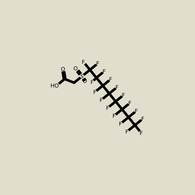 O=C(O)CS(=O)(=O)C(F)(F)C(F)(F)C(F)(F)C(F)(F)C(F)(F)C(F)(F)C(F)(F)C(F)(F)F